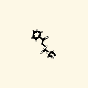 O=C(CSC(=S)n1ccnc1)c1ccccc1